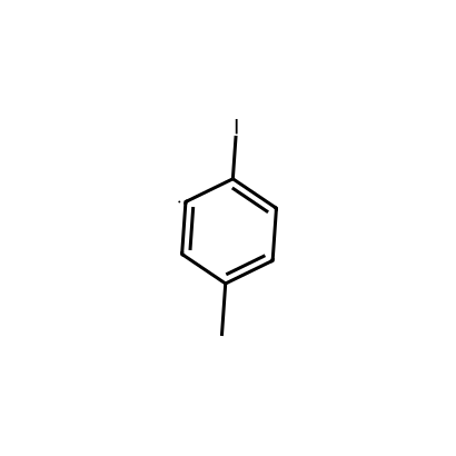 Cc1c[c]c(I)cc1